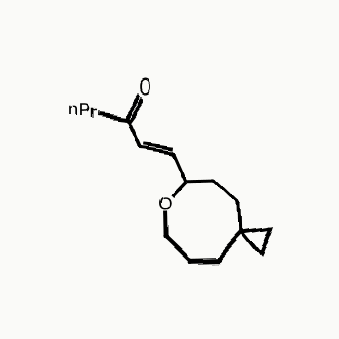 CCCC(=O)/C=C/C1CCC2(CCCO1)CC2